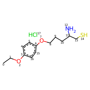 CCOc1ccc(OCCCC(N)CS)cc1.Cl